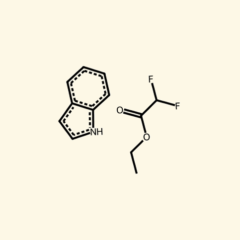 CCOC(=O)C(F)F.c1ccc2[nH]ccc2c1